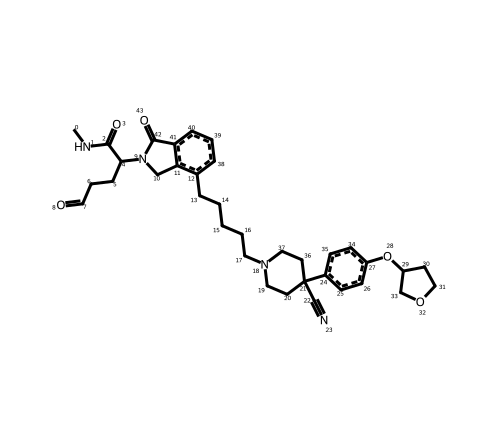 CNC(=O)C(CCC=O)N1Cc2c(CCCCCN3CCC(C#N)(c4ccc(OC5CCOC5)cc4)CC3)cccc2C1=O